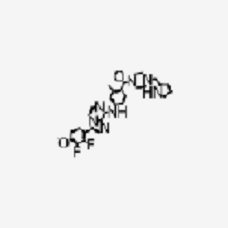 COc1ccc(-c2cnc3c(Nc4ccc(C(=O)N5CCN(CC6CCCN6)CC5)c(C)c4)nccn23)c(F)c1F